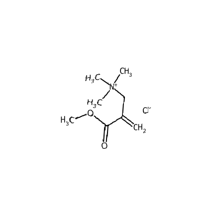 C=C(C[N+](C)(C)C)C(=O)OC.[Cl-]